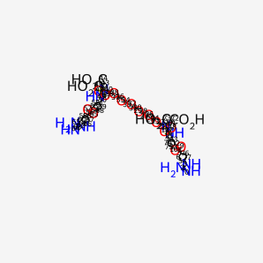 N=C(N)Nc1ccc(C(=O)Oc2ccc(CNS(=O)(=O)N(CCOCCOCCOCCOCCOCCOCCN(C(CC(=O)O)C(=O)O)S(=O)(=O)NCc3ccc(OC(=O)c4ccc(NC(=N)N)cc4)cc3)C(CC(=O)O)C(=O)O)cc2)cc1